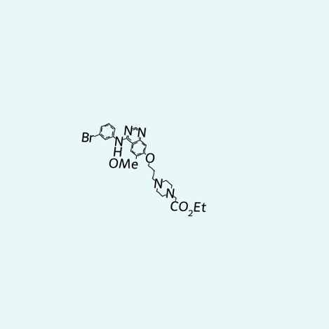 CCOC(=O)CN1CCN(CCCOc2cc3ncnc(Nc4cccc(Br)c4)c3cc2OC)CC1